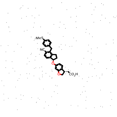 CSc1ccc(Cc2c(C#N)ccc3c2CC[C@H]3Oc2ccc3c(c2)OC[C@H]3CC(=O)O)cc1